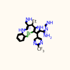 CCC(/C(C=N)=C/Nc1ccccc1F)c1[nH]c(/C(N)=N\C=N)c(-c2cnc(C(F)(F)F)nc2)c1Br